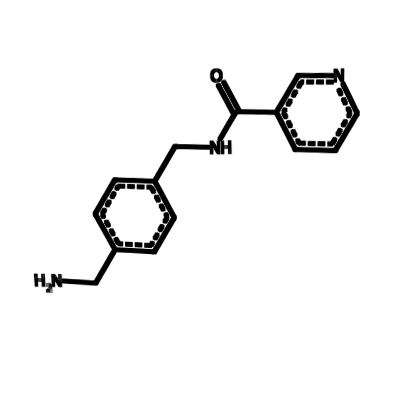 NCc1ccc(CNC(=O)c2cccnc2)cc1